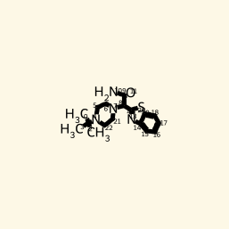 CC(C)(C)N1CCN(C(C(N)=O)c2nc3ccccc3s2)CC1